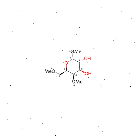 COC[C@H]1O[C@H](OC)[C@H](O)[C@@H](O)[C@H]1OC